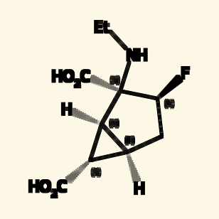 CCN[C@]1(C(=O)O)[C@H]2[C@@H](C[C@@H]1F)[C@@H]2C(=O)O